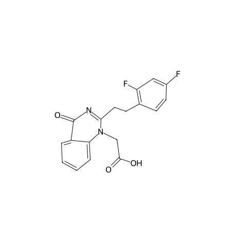 O=C(O)Cn1c(CCc2ccc(F)cc2F)nc(=O)c2ccccc21